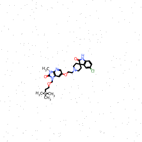 Cn1c(=O)n(COCC[Si](C)(C)C)c2cc(OCCN3CCC4(CC3)C(=O)Nc3ccc(Cl)cc34)cnc21